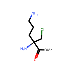 COC(=O)[C@@](N)(CCl)CCCN